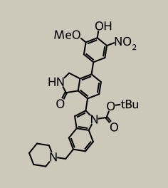 COc1cc(-c2ccc(-c3cc4cc(CN5CCCCC5)ccc4n3C(=O)OC(C)(C)C)c3c2CNC3=O)cc([N+](=O)[O-])c1O